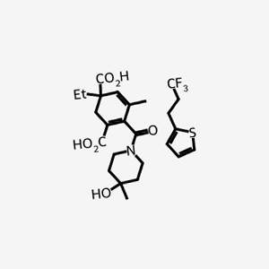 CCC1(C(=O)O)C=C(C)C(C(=O)N2CCC(C)(O)CC2)=C(C(=O)O)C1.FC(F)(F)CCc1cccs1